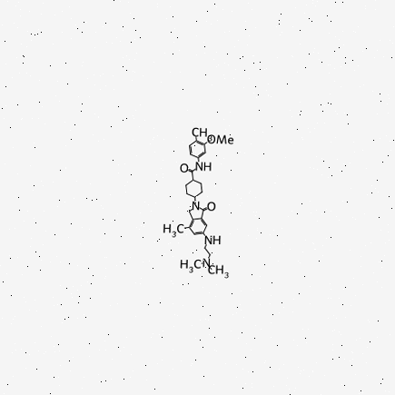 COc1cc(NC(=O)C2CCC(N3Cc4c(C)cc(NCCN(C)C)cc4C3=O)CC2)ccc1C